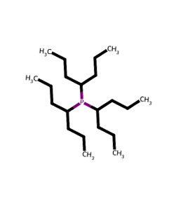 CCCC(CCC)P(C(CCC)CCC)C(CCC)CCC